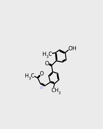 CC(=O)/C=C\c1cc(C(=O)c2ccc(O)cc2C)ccc1C